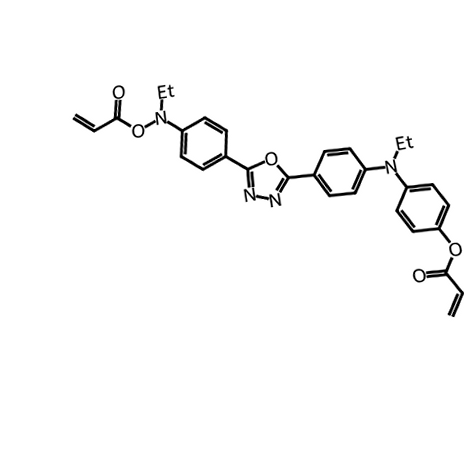 C=CC(=O)Oc1ccc(N(CC)c2ccc(-c3nnc(-c4ccc(N(CC)OC(=O)C=C)cc4)o3)cc2)cc1